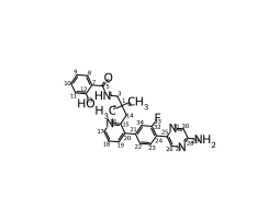 CC(C)(CNC(=O)c1ccccc1O)Cc1ncccc1-c1ccc(-c2cnc(N)cn2)c(F)c1